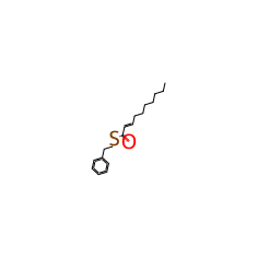 CCCCCCCC=CC(=O)SCCc1ccccc1